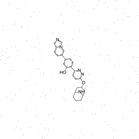 Oc1cc(-c2ccc3cncn3c2)ccc1-c1ccc(OC2CC3CCCC(C2)N3)nn1